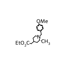 CCOC(=O)CC1CCN(Cc2ccc(OC)cc2)[C@H](C)C1